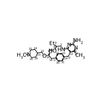 CC[C@H](O)CNc1nc(N)nc(C)c1Cc1ccc(CC(=O)OCC2CCN(C)CC2)cc1